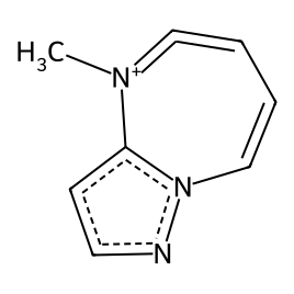 C[N+]1=C=CC=Cn2nccc21